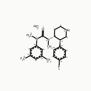 CN(C(=O)N(C)[C@@H]1CCNC[C@H]1c1ccc(F)cc1)c1cc(C(F)(F)F)cc(C(F)(F)F)c1.Cl